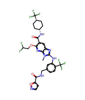 Cn1c(Nc2cc(CNC(=O)c3ccno3)ccc2C(F)(F)F)nc2cc(C(=O)N[C@H]3CC[C@H](C(F)(F)F)CC3)c(OCC(F)F)nc21